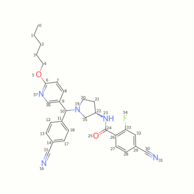 CCCCCOc1ccc(C(c2ccc(C#N)cc2)N2CC[C@@H](NC(=O)c3ccc(C#N)cc3F)C2)cn1